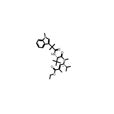 CCOC(=O)/C(C)=C/[C@H](C(C)C)N(C)C(=O)[C@@H](NC(=O)C(C)(C)c1cn(C)c2ccccc12)C(C)(C)C